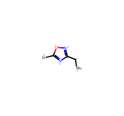 CCc1nc(CC(C)(C)C)no1